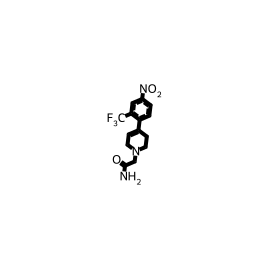 NC(=O)CN1CC=C(c2ccc([N+](=O)[O-])cc2C(F)(F)F)CC1